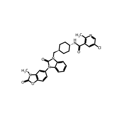 Cc1ncc(Cl)cc1C(=O)N[C@H]1CC[C@H](Cn2c(=O)n(-c3ccc4oc(=O)n(C)c4c3)c3ccccc32)CC1